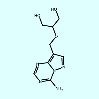 Nc1ncnc2c(COC(CO)CO)cnn12